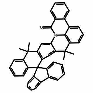 CC1(C)c2ccccc2C2(c3ccccc3-c3ccccc32)c2cc3c(cc21)-n1c(=O)c2ccccc2c2cccc(c21)C3(C)C